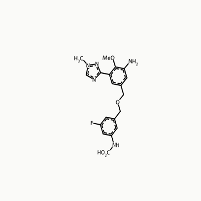 COc1c(N)cc(COCc2cc(F)cc(NC(=O)O)c2)cc1-c1ncn(C)n1